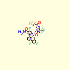 CC(=O)N1Cc2c(C(F)(F)F)nn(CC(=O)NC(Cc3cc(F)cc(F)c3)c3ncccc3-c3ccc(F)c(C(N)=O)c3)c2C1